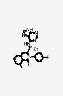 CC[C@@H](Nc1ncnc2[nH]cnc12)c1cc2cccc(C)c2c(=O)n1-c1ccc(F)cc1